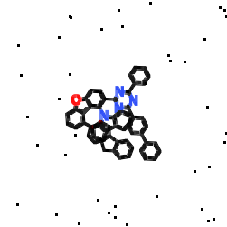 c1ccc(-c2ccc(-c3nc(-c4ccccc4)nc(-c4ccc5oc6cccc(-c7ccc8c(c7)Cc7ccccc7-8)c6c5c4-n4c5ccccc5c5ccccc54)n3)cc2)cc1